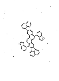 c1cc2c3c(cccc3c1)-c1cc3c(cc1-2)c(-c1cccc2occc12)cc1c2cc4c(c(-c5cccc6occc56)c2ccc31)-c1cccc2cccc-4c12